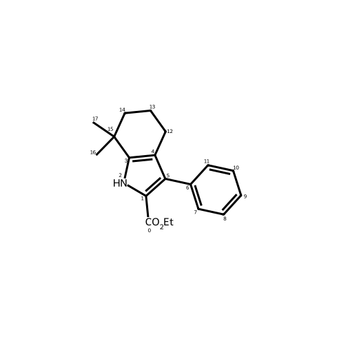 CCOC(=O)c1[nH]c2c(c1-c1ccccc1)CCCC2(C)C